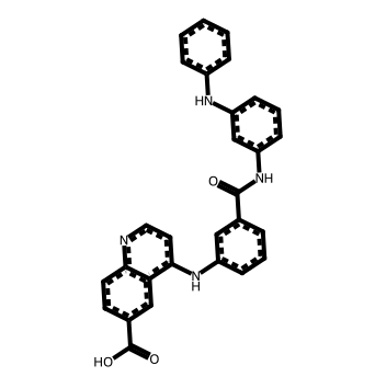 O=C(O)c1ccc2nccc(Nc3cccc(C(=O)Nc4cccc(Nc5ccccc5)c4)c3)c2c1